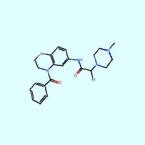 CCC(C(=O)Nc1ccc2c(c1)N(C(=O)c1ccccc1)CCS2)N1CCN(C)CC1